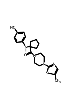 N#Cc1ccc(NC2(C(=O)N3CCN(c4ncc(C(F)(F)F)s4)CC3)CCCC2)cc1